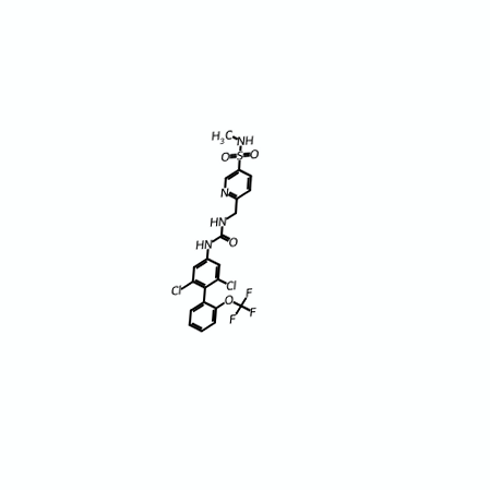 CNS(=O)(=O)c1ccc(CNC(=O)Nc2cc(Cl)c(-c3ccccc3OC(F)(F)F)c(Cl)c2)nc1